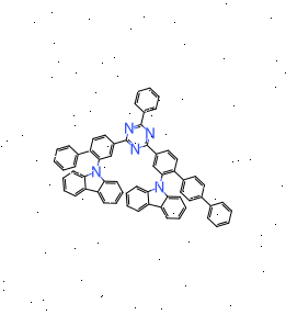 c1ccc(-c2ccc(-c3ccc(-c4nc(-c5ccccc5)nc(-c5ccc(-c6ccccc6)c(-n6c7ccccc7c7ccccc76)c5)n4)cc3-n3c4ccccc4c4ccccc43)cc2)cc1